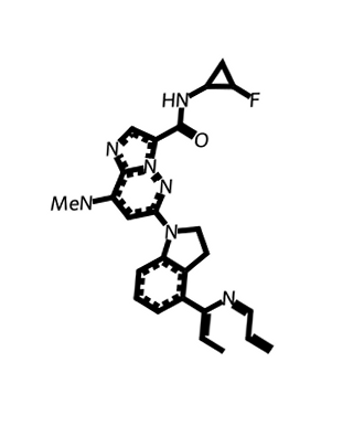 C=C/C=N\C(=C/C)c1cccc2c1CCN2c1cc(NC)c2ncc(C(=O)NC3CC3F)n2n1